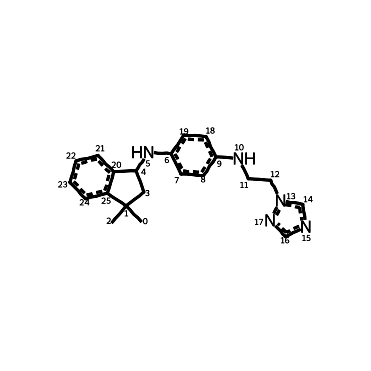 CC1(C)CC(Nc2ccc(NCCn3cncn3)cc2)c2ccccc21